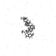 Fc1ccc(F)c([C@H]2C[C@H](F)CN2c2ccc3nccc(-c4cnn(C5CCNCC5)c4F)c3n2)c1